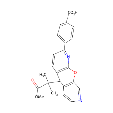 COC(=O)C(C)(C)C1c2ccncc2Oc2nc(-c3ccc(C(=O)O)cc3)ccc21